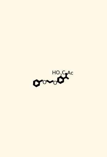 CC(=O)C(C(=O)O)C(C)c1ccc(OCCCOCc2ccccc2)cc1